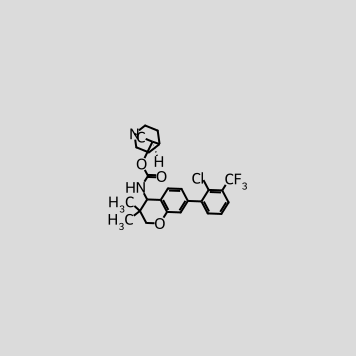 CC1(C)COc2cc(-c3cccc(C(F)(F)F)c3Cl)ccc2C1NC(=O)O[C@H]1CN2CCC1CC2